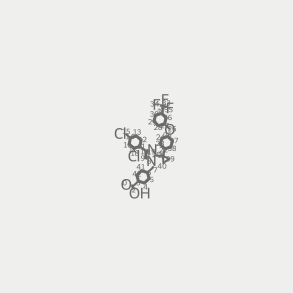 O=C(O)c1ccc(Cn2cc(-c3ccc(Cl)cc3Cl)nc2C2(c3ccc(Oc4cccc(C(F)(F)F)c4)cc3)CC2)cc1